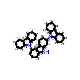 c1cc(-n2c3ccccc3c3ccccc32)c2c(c1)[nH]c1cc(-n3c4ccccc4c4ccccc43)ccc12